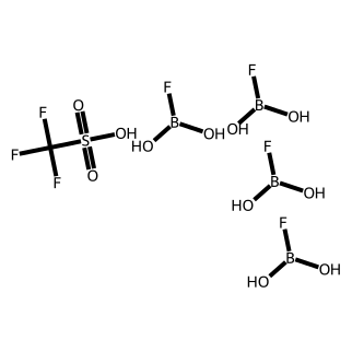 O=S(=O)(O)C(F)(F)F.OB(O)F.OB(O)F.OB(O)F.OB(O)F